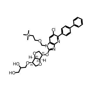 C[Si](C)(C)CCOCn1c(O[C@@H]2CO[C@H]3[C@@H]2OC[C@H]3OCC(O)CO)nc2nc(-c3ccc(-c4ccccc4)cc3)c(Cl)cc21